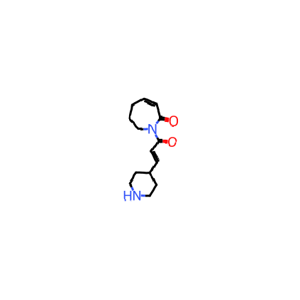 O=C1C=CCCCN1C(=O)C=CC1CCNCC1